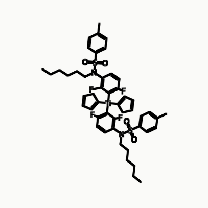 CCCCCCN(c1ccc(F)[c]([Ti]([C]2=CC=CC2)([C]2=CC=CC2)[c]2c(F)ccc(N(CCCCCC)S(=O)(=O)c3ccc(C)cc3)c2F)c1F)S(=O)(=O)c1ccc(C)cc1